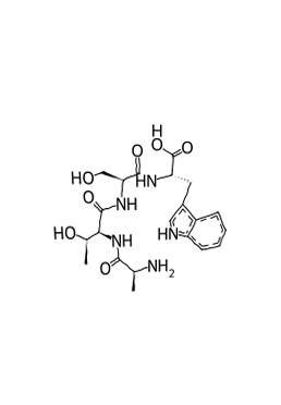 C[C@H](N)C(=O)N[C@H](C(=O)N[C@@H](CO)C(=O)N[C@@H](Cc1c[nH]c2ccccc12)C(=O)O)[C@@H](C)O